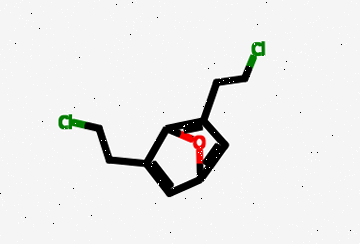 ClCCc1cc2cc(CCCl)c1o2